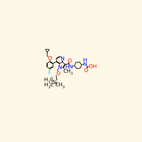 Cc1c(C(=O)NC2CCC(NC(=O)O)CC2)c2nccc(-c3cc(F)ccc3OCC3CC3)c2n1COCC[Si](C)(C)C